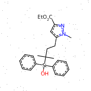 CCOC(=O)c1cc(CCC(C)(C)[Si](O)(c2ccccc2)c2ccccc2)n(C)n1